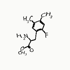 COC(=O)C(N)Cc1cc(C)c(C)cc1F